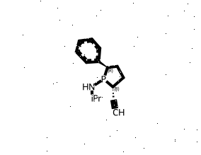 C#C[C@H]1CC[C@H](c2ccccc2)P1NC(C)C